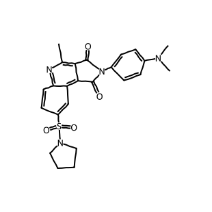 Cc1nc2ccc(S(=O)(=O)N3CCCC3)cc2c2c1C(=O)N(c1ccc(N(C)C)cc1)C2=O